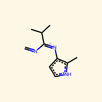 C=N/C(=N\c1cc[nH]c1C)C(C)C